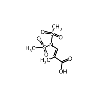 CC(=CN(S(C)(=O)=O)S(C)(=O)=O)C(=O)O